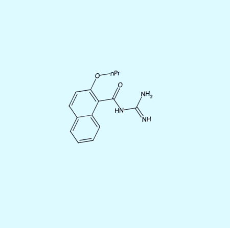 CCCOc1ccc2ccccc2c1C(=O)NC(=N)N